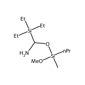 CCC[Si](C)(OC)OC(N)[Si](CC)(CC)CC